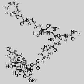 CCCC1O[C@@H]2C[C@H]3[C@@H]4CCC5=CC(=O)C=C[C@]5(C)[C@H]4[C@@H](O)C[C@]3(C)[C@]2(C(=O)COC(=O)OCc2ccc(NC(=O)[C@H](CCCNC(N)=O)NC(=O)[C@@H](NC(=O)[C@H](N)CCCCNC(=O)COC3C#CCCCCC3)C(C)C)cc2)O1